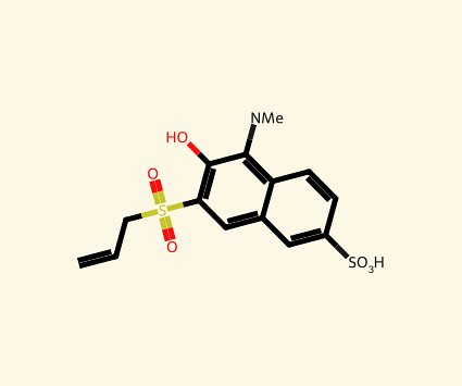 C=CCS(=O)(=O)c1cc2cc(S(=O)(=O)O)ccc2c(NC)c1O